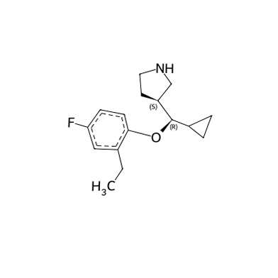 CCc1cc(F)ccc1O[C@H](C1CC1)[C@H]1CCNC1